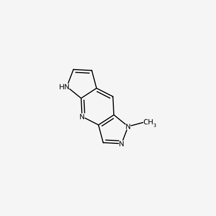 Cn1ncc2nc3[nH]ccc3cc21